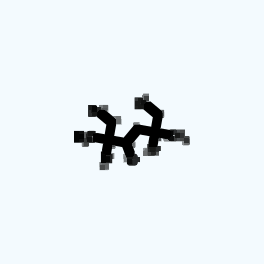 CC(Br)(CBr)CC([O])C(C)(Br)CBr